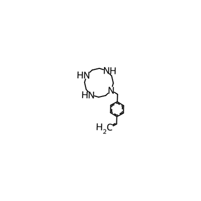 C=Cc1ccc(CN2CCNCCNCCNCC2)cc1